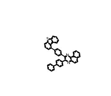 c1ccc(-c2ccc(-c3nc4ccc5ccccc5c4nc3-c3ccc(-c4cccc5sc6ccccc6c45)cc3)cc2)cc1